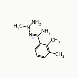 Cc1cccc(/C(N)=N/N(C)N)c1C